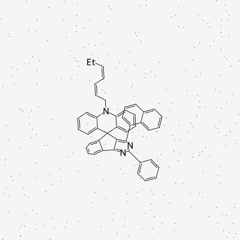 CC/C=C\C=C/CN1c2ccccc2C2(c3ccccc3-c3nc(-c4ccccc4)nc(-c4cccc5ccccc45)c32)c2ccccc21